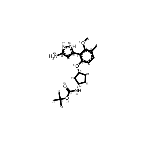 COc1c(C)ccc(O[C@@H]2CC[C@H](NC(=O)OC(C)(C)C)C2)c1-c1cc(N)n[nH]1